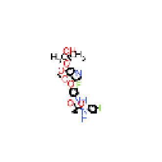 CC(C)(O)COc1cc2nccc(Oc3ccc(NC(=O)C4(C(=O)Nc5ccc(F)cc5)CC4)cc3F)c2c2c1OCCO2